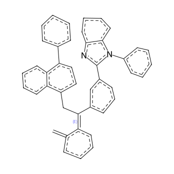 C=c1cccc/c1=C(/Cc1ccc(-c2ccccc2)c2ccccc12)c1cccc(-c2nc3ccccc3n2-c2ccccc2)c1